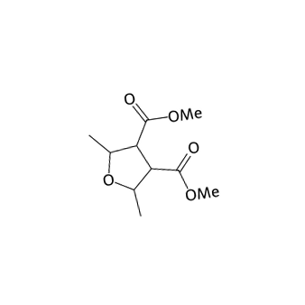 COC(=O)C1C(C)OC(C)C1C(=O)OC